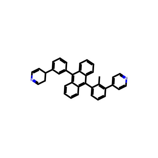 Cc1c(-c2ccncc2)cccc1-c1c2ccccc2c(-c2cccc(C3C=CN=CC3)c2)c2ccccc12